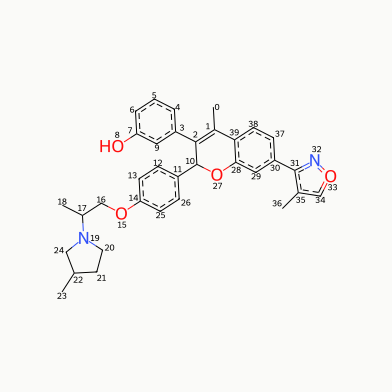 CC1=C(c2cccc(O)c2)C(c2ccc(OCC(C)N3CCC(C)C3)cc2)Oc2cc(-c3nocc3C)ccc21